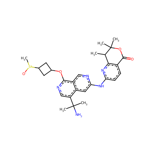 CC1c2nc(Nc3cc4c(C(C)(C)N)cnc(OC5CC([S+](C)[O-])C5)c4cn3)ccc2C(=O)OC1(C)C